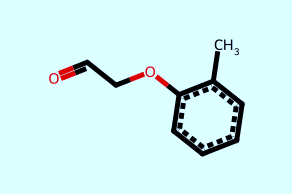 Cc1ccccc1OCC=O